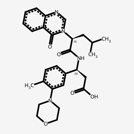 Cc1ccc([C@H](CC(=O)O)NC(=O)[C@H](CC(C)C)n2cnc3ccccc3c2=O)cc1N1CCOCC1